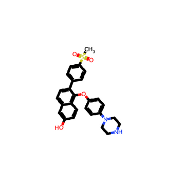 CS(=O)(=O)c1ccc(-c2ccc3cc(O)ccc3c2Oc2ccc(N3CCNCC3)cc2)cc1